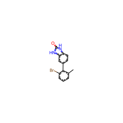 Cc1cccc(Br)c1-c1ccc2[nH]c(=O)[nH]c2c1